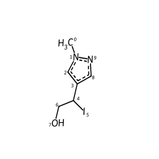 Cn1cc(C(I)CO)cn1